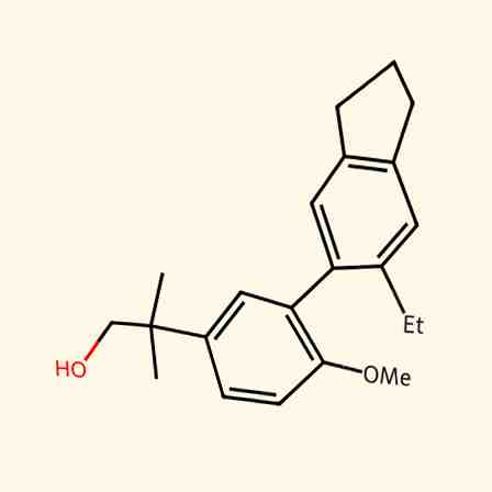 CCc1cc2c(cc1-c1cc(C(C)(C)CO)ccc1OC)CCC2